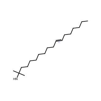 CCCCCC/C=C/CCCCCCCCC(C)(C)[NH]